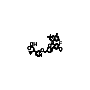 COc1cc(N2CCC(COc3cc(C(CC(=O)O)C4CC4)ccn3)CC2)c(C(=O)N(CC(C)(C)C)c2cccc(C)n2)cc1F